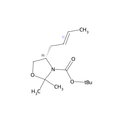 C/C=C/C[C@H]1COC(C)(C)N1C(=O)OC(C)(C)C